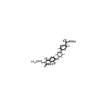 C=CCn1c(=O)[nH]c2c(F)c(CN3CCN(c4ccc(C(=O)NC)nc4)CC3)ccc2c1=O